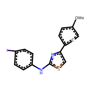 COc1ccc(-c2csc(Nc3ccc(I)cc3)n2)cc1